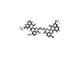 CC(=O)c1ccc(C(=O)N(CCCN(CCN2C(=O)c3cccc4cc([N+](=O)[O-])cc(c34)C2=O)C(=O)c2ccc(C(C)=O)cc2)CCN2C(=O)c3cccc4cc([N+](=O)[O-])cc(c34)C2=O)cc1